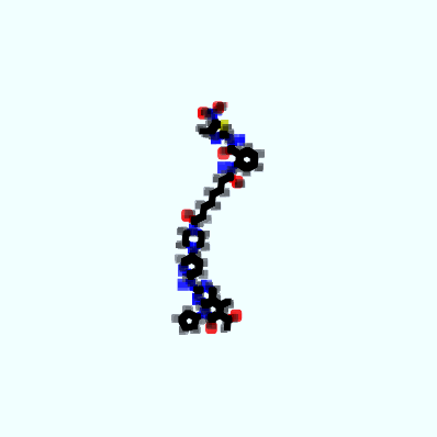 CC(=O)c1c(C)c2cnc(Nc3ccc(N4CCN(C(=O)CCCCCCC(=O)Nc5ccccc5C(=O)Nc5nc(C)c([N+](=O)[O-])s5)CC4)cn3)nc2n(C2CCCC2)c1=O